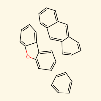 c1ccc2c(c1)oc1ccccc12.c1ccc2cc3ccccc3cc2c1.c1ccccc1